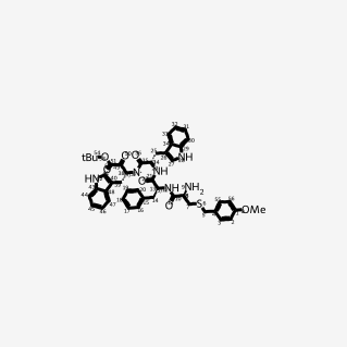 COc1ccc(CSC[C@H](N)C(=O)N[C@@H](Cc2ccccc2)C(=O)N[C@@H](Cc2c[nH]c3ccccc23)C(=O)[N][C@H](Cc2c[nH]c3ccccc23)C(=O)C(=O)OC(C)(C)C)cc1